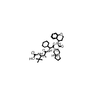 C[C@H](C(=O)N[C@H](C(=O)N1C[C@H]2CCCN2C[C@H]1C(=O)N[C@@H]1CCOc2ccccc21)C1CCCCC1)C(NC(=O)O)C(C)(C)C